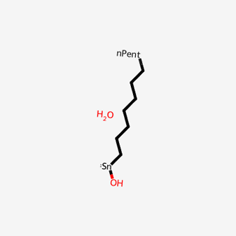 CCCCCCCCCCC[CH2][Sn][OH].O